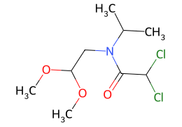 COC(CN(C(=O)C(Cl)Cl)C(C)C)OC